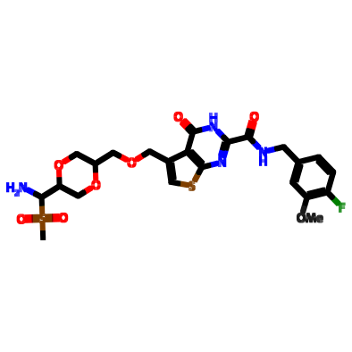 COc1cc(CNC(=O)c2nc3scc(COCC4COC(C(N)S(C)(=O)=O)CO4)c3c(=O)[nH]2)ccc1F